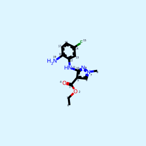 CCOC(=O)c1cn(C)nc1Nc1cc(F)ccc1N